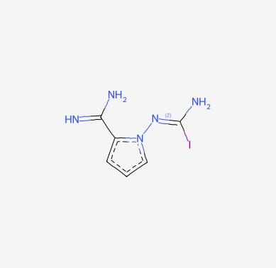 N=C(N)c1cccn1/N=C(/N)I